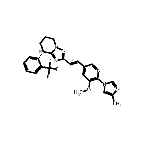 COc1cc(/C=C/c2nc3n(n2)CCC[C@H]3c2ccccc2C(F)(F)F)cnc1-n1cnc(C)c1